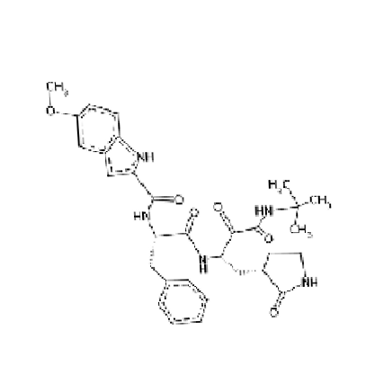 COc1ccc2[nH]c(C(=O)N[C@@H](Cc3ccccc3)C(=O)N[C@@H](C[C@@H]3CCNC3=O)C(=O)C(=O)NC(C)(C)C)cc2c1